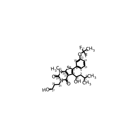 CC(C)CC(O)c1c(-c2cccc(OC(C)(F)F)c2)sc2c1c(=O)n(CCCO)c(=O)n2C